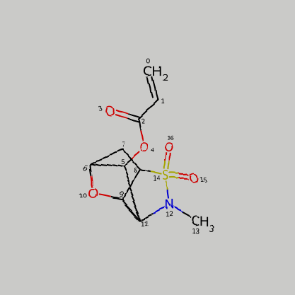 C=CC(=O)OC1C2CC3C(O2)C1N(C)S3(=O)=O